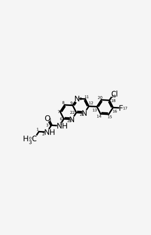 CCNC(=O)Nc1ccc2ncc(-c3ccc(F)c(Cl)c3)nc2n1